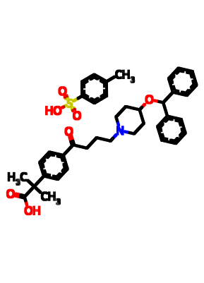 CC(C)(C(=O)O)c1ccc(C(=O)CCCN2CCC(OC(c3ccccc3)c3ccccc3)CC2)cc1.Cc1ccc(S(=O)(=O)O)cc1